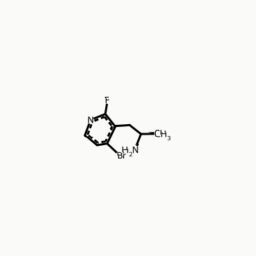 CC(N)Cc1c(Br)ccnc1F